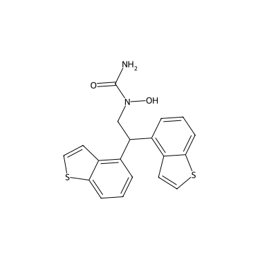 NC(=O)N(O)CC(c1cccc2sccc12)c1cccc2sccc12